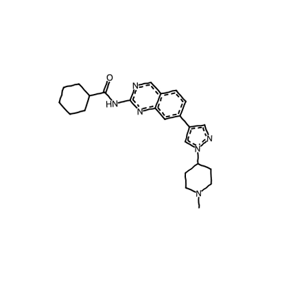 CN1CCC(n2cc(-c3ccc4cnc(NC(=O)C5CCCCC5)nc4c3)cn2)CC1